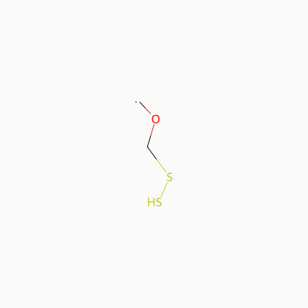 [CH2]OCSS